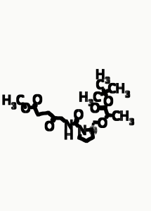 COC(=O)CCC(=O)CNC(=O)N1CCC[C@H]1COC(C)C(=O)OC(C)(C)C